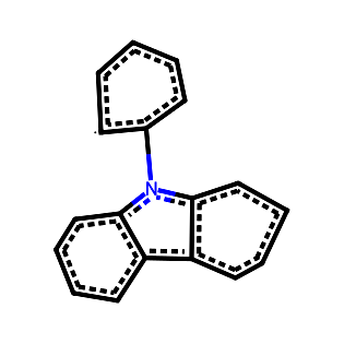 [c]1ccccc1-n1c2ccccc2c2ccccc21